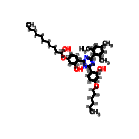 CCCCCCCCCCC(O)Oc1ccc(-c2nc(-c3ccc(OCCCCCC)cc3O)nc(-c3c(C)cc(C)cc3C)n2)c(O)c1